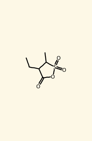 CCC1C(=O)OS(=O)(=O)C1C